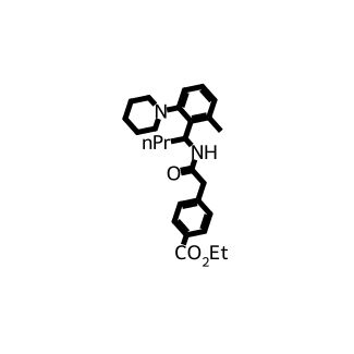 CCCC(NC(=O)Cc1ccc(C(=O)OCC)cc1)c1c(C)cccc1N1CCCCC1